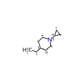 [CH2]CC1CCN(C2CC2)CC1